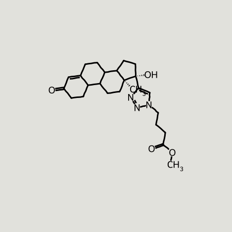 COC(=O)CCCn1cc([C@]2(O)CCC3C4CCC5=CC(=O)CCC5C4CC[C@@]32C)nn1